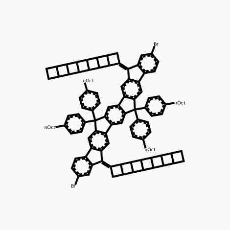 CCCCCCCCc1ccc(C2(c3ccc(CCCCCCCC)cc3)c3cc4c(cc3-c3cc5c(cc32)-c2cc3c(cc2C5(c2ccc(CCCCCCCC)cc2)c2ccc(CCCCCCCC)cc2)-c2ccc(Br)cc2/C3=C2\CC3C2C2C3C3C5C6C7CCC7C6C5C23)/C(=C2/CC3C2C2C3C3C5C6C7CCC7C6C5C23)c2cc(Br)ccc2-4)cc1